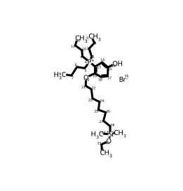 CCCC[P+](CCCC)(CCCC)c1cc(O)ccc1OCCCCCCCC[Si](C)(C)OCC.[Br-]